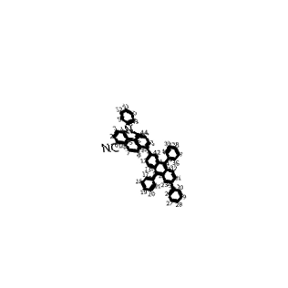 N#Cc1ccc2c3c1ccc1c(-c4ccc5c(-c6ccccc6)c6cc(-c7ccccc7)ccc6c(-c6ccccc6)c5c4)ccc(c13)n2-c1ccccc1